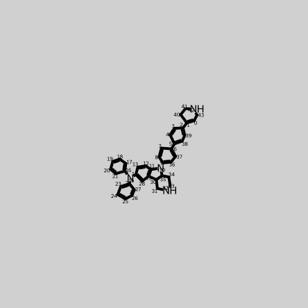 C1=C(c2ccc(-c3ccc(N4c5ccc(N(c6ccccc6)c6ccccc6)cc5C5CNCCC54)cc3)cc2)CCNC1